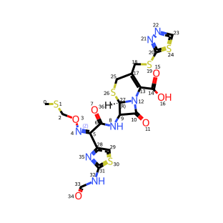 CSCO/N=C(\C(=O)NC1C(=O)N2C(C(=O)O)=C(CSc3nncs3)CS[C@H]12)c1csc(NC=O)n1